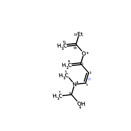 C=C(/C=C\N(C)C(C)O)OC(=C)CC